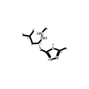 CNN[C@H](Cc1nnc(C)s1)CC(C)C